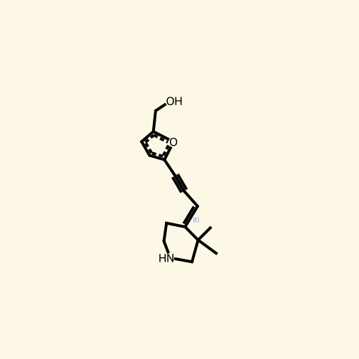 CC1(C)CNCC/C1=C\C#Cc1ccc(CO)o1